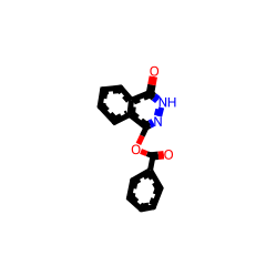 O=C(Oc1n[nH]c(=O)c2ccccc12)c1ccccc1